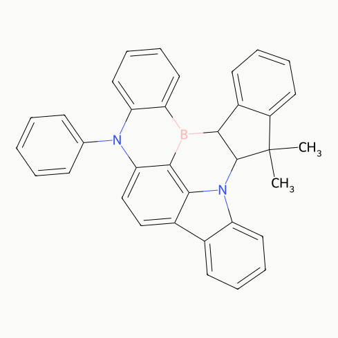 CC1(C)c2ccccc2C2B3c4ccccc4N(c4ccccc4)c4ccc5c6ccccc6n(c5c43)C21